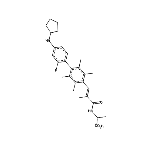 C/C(=C\c1c(C)c(C)c(-c2ccc(NC3CCCC3)cc2F)c(C)c1C)C(=O)N[C@H](C)C(=O)O